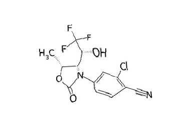 C[C@H]1OC(=O)N(c2ccc(C#N)c(Cl)c2)[C@H]1[C@@H](O)C(F)(F)F